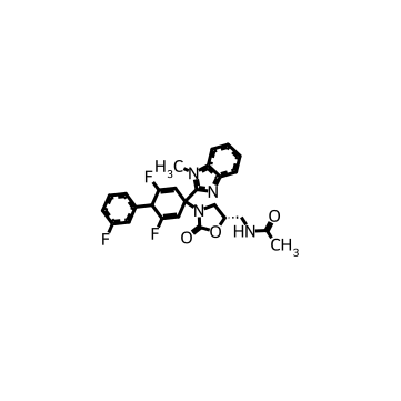 CC(=O)NC[C@H]1CN(C2(c3nc4ccccc4n3C)C=C(F)C(c3cccc(F)c3)C(F)=C2)C(=O)O1